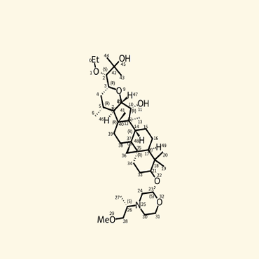 CCO[C@@H]([C@H]1C[C@@H](C)[C@H]2[C@H](O1)[C@H](O)[C@@]1(C)[C@@H]3CC[C@H]4C(C)(C)C(O[C@H]5CN([C@@H](C)COC)CCO5)CC[C@@]45C[C@@]35CC[C@]21C)C(C)(C)O